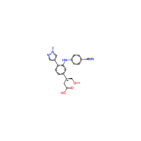 COC[C@@H](CC(=O)O)c1ccc(-c2cnn(C)c2)c(Nc2ccc(C#N)cc2)c1